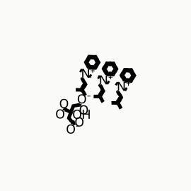 CC(C)=CC[N+](C)(C)c1ccccc1.CC(C)=CC[N+](C)(C)c1ccccc1.CC(C)=CC[N+](C)(C)c1ccccc1.O=C([O-])CC(O)(CC(=O)[O-])C(=O)[O-]